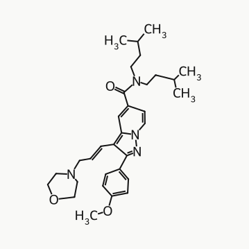 COc1ccc(-c2nn3ccc(C(=O)N(CCC(C)C)CCC(C)C)cc3c2/C=C/CN2CCOCC2)cc1